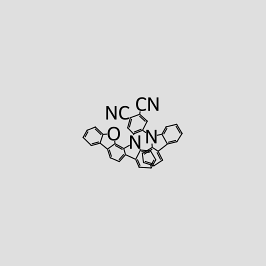 N#Cc1cc(-n2c3ccccc3c3ccccc32)c(-n2c3ccccc3c3ccc4c5ccccc5oc4c32)cc1C#N